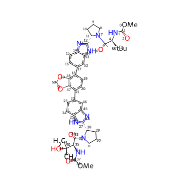 COC(=O)N[C@H](C(=O)N1CCC[C@H]1c1nc2ccc(-c3ccc(-c4ccc5[nH]c([C@@H]6CCCN6C(=O)[C@@H](NC(=O)OC)C(C)(C)O)nc5c4)c4c3OCO4)cc2[nH]1)C(C)(C)C